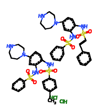 Cc1ccc(S(=O)(=O)Nc2ccc(N3CCCNCC3)cc2NS(=O)(=O)c2ccccc2)cc1.Cl.Cl.O=S(=O)(C=Cc1ccccc1)Nc1ccc(N2CCCNCC2)cc1NS(=O)(=O)c1ccccc1